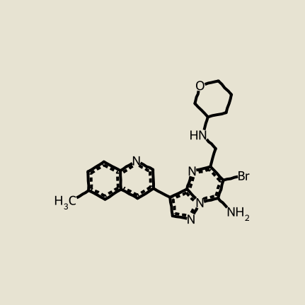 Cc1ccc2ncc(-c3cnn4c(N)c(Br)c(CNC5CCCOC5)nc34)cc2c1